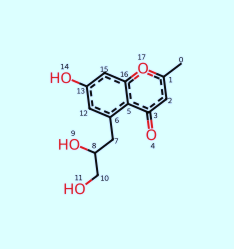 Cc1cc(=O)c2c(CC(O)CO)cc(O)cc2o1